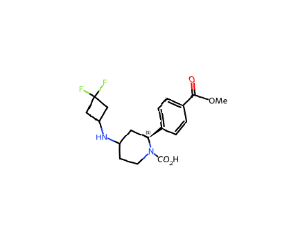 COC(=O)c1ccc([C@@H]2CC(NC3CC(F)(F)C3)CCN2C(=O)O)cc1